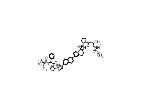 COC(=O)NCC(C)CC(=O)N1CCCC1c1nc2c([nH]1)-c1ccc(-c3ccc4cc(-c5cnc(C6CCCN6C(=O)C(NC(=O)C(C)(C)O)c6ccccc6)[nH]5)ccc4c3)cc1CC2